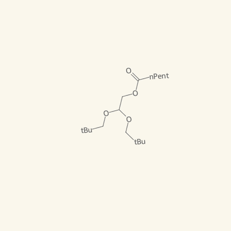 CCCCCC(=O)OCC(OCC(C)(C)C)OCC(C)(C)C